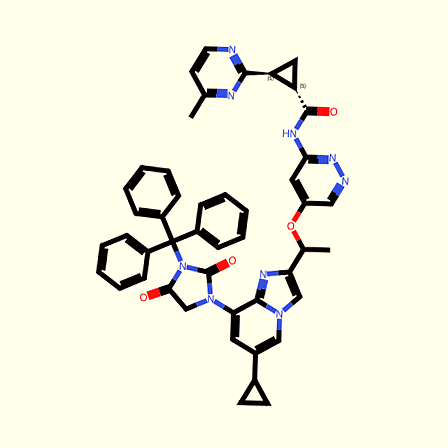 Cc1ccnc([C@H]2C[C@@H]2C(=O)Nc2cc(OC(C)c3cn4cc(C5CC5)cc(N5CC(=O)N(C(c6ccccc6)(c6ccccc6)c6ccccc6)C5=O)c4n3)cnn2)n1